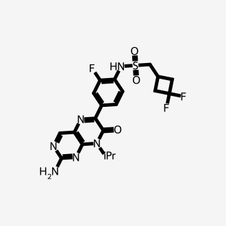 CC(C)n1c(=O)c(-c2ccc(NS(=O)(=O)CC3CC(F)(F)C3)c(F)c2)nc2cnc(N)nc21